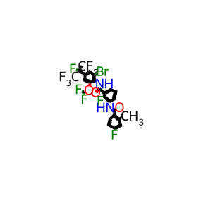 Cc1cc(F)ccc1C(=O)Nc1cccc(C(=O)Nc2c(Br)cc(C(F)(C(F)(F)F)C(F)(F)F)cc2OC(F)F)c1F